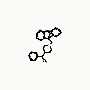 OC(c1ccccc1)C1CCN(CC23CC(c4ccccc42)c2ccccc23)CC1